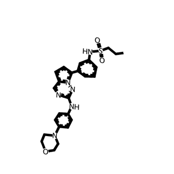 CCCS(=O)(=O)Nc1cccc(-c2ccc3cnc(Nc4ccc(N5CCOCC5)cc4)nn23)c1